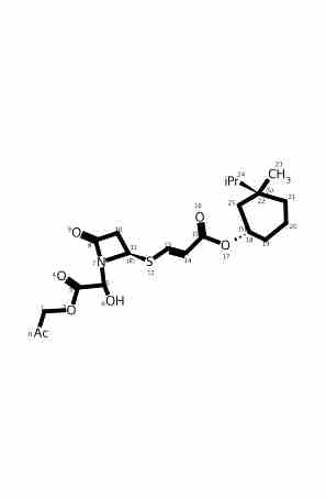 CC(=O)COC(=O)C(O)N1C(=O)C[C@H]1SC=CC(=O)O[C@H]1CCC[C@](C)(C(C)C)C1